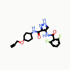 C#CCOC1CCC(NC(=O)c2n[nH]cc2NC(=O)c2c(F)cccc2F)CC1